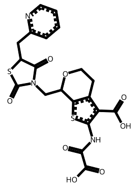 O=C(O)C(=O)Nc1sc2c(c1C(=O)O)CCOC2CN1C(=O)SC(Cc2ccccn2)C1=O